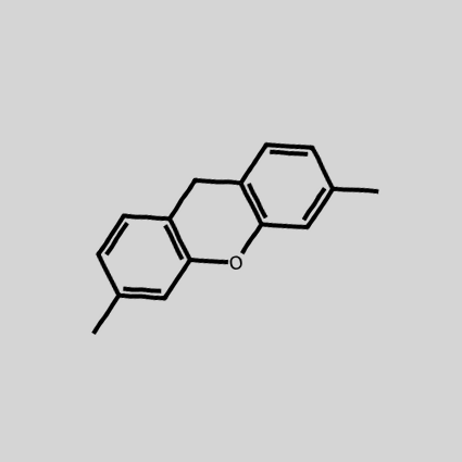 Cc1ccc2c(c1)Oc1cc(C)ccc1C2